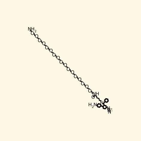 [N-]=[N+]=Nc1ccc2c(c1)c(-c1ccccc1)[n+](CCCCCC(=O)NCCOCCOCCOCCOCCOCCOCCOCCOCCOCCOCCOCCOCCOCCOCCOCCOCCOCCN)c1cc(N)ccc21